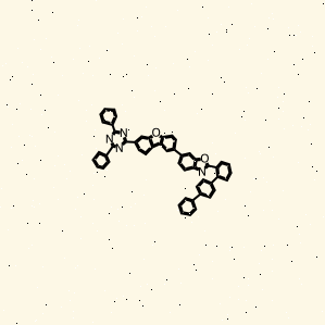 c1ccc(-c2ccc(-c3ccccc3-c3nc4ccc(-c5ccc6oc7cc(-c8nc(-c9ccccc9)nc(-c9ccccc9)n8)ccc7c6c5)cc4o3)cc2)cc1